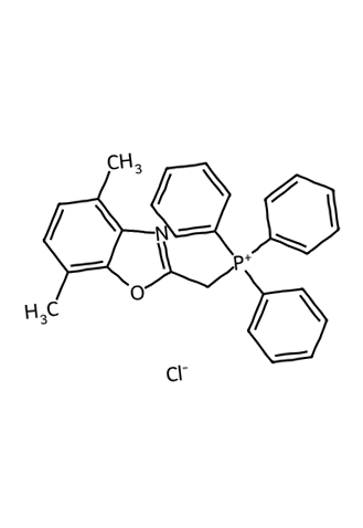 Cc1ccc(C)c2oc(C[P+](c3ccccc3)(c3ccccc3)c3ccccc3)nc12.[Cl-]